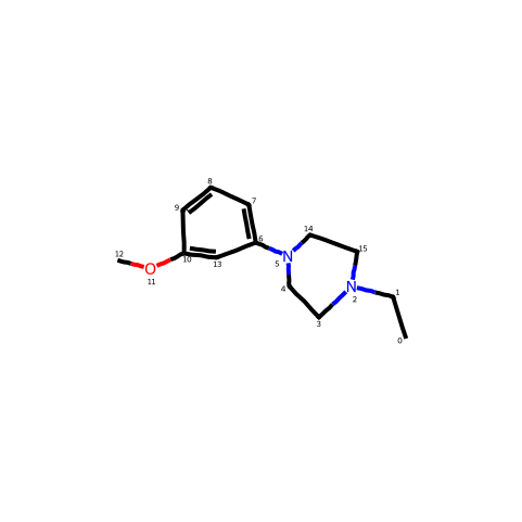 CCN1CCN(c2cc[c]c(OC)c2)CC1